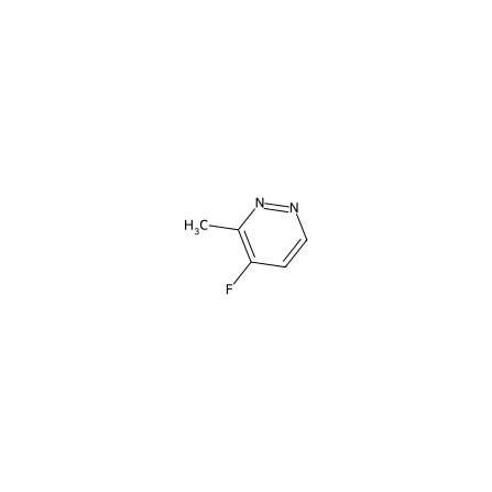 Cc1nnccc1F